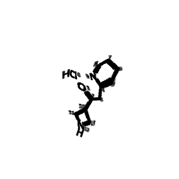 Cl.O=C(Cc1ccccn1)C1CNC1